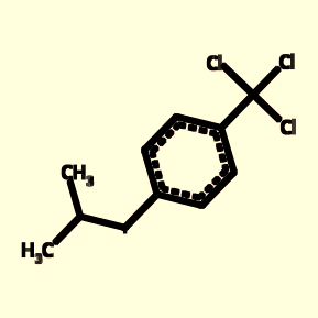 CC(C)[CH]c1ccc(C(Cl)(Cl)Cl)cc1